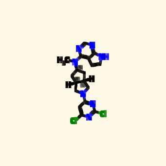 CN(c1ncnc2[nH]ccc12)[C@H]1C[C@@H]2CN(c3cc(Cl)nc(Cl)n3)C[C@@H]2C1